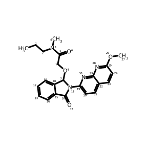 CCCN(C)C(=O)COC1c2ccccc2C(=O)N1c1ccc2ccc(OC)nc2n1